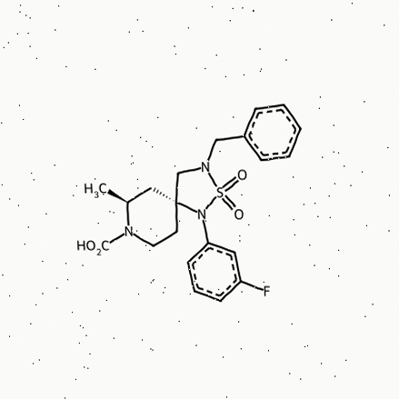 C[C@H]1C[C@]2(CCN1C(=O)O)CN(Cc1ccccc1)S(=O)(=O)N2c1cccc(F)c1